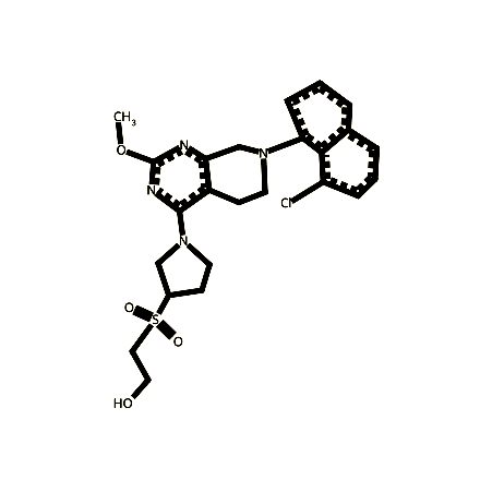 COc1nc2c(c(N3CCC(S(=O)(=O)CCO)C3)n1)CCN(c1cccc3cccc(Cl)c13)C2